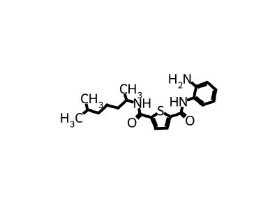 CC(C)CCCC(C)NC(=O)c1ccc(C(=O)Nc2ccccc2N)s1